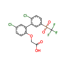 O=C(O)COc1ccc(Cl)cc1-c1cc(S(=O)(=O)C(F)(F)F)ccc1Cl